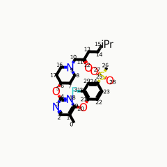 Cc1cnc(OC2CCN(CC(=O)CCC(C)C)CC2)nc1Oc1ccc(S(C)(=O)=O)cc1F